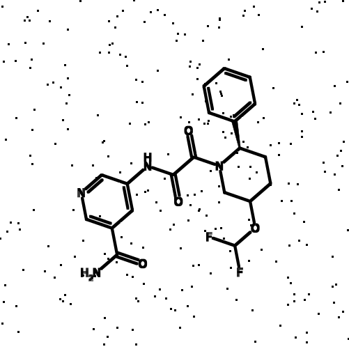 NC(=O)c1cncc(NC(=O)C(=O)N2CC(OC(F)F)CC[C@@H]2c2ccccc2)c1